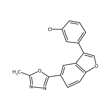 Cc1nnc(-c2ccc3occ(-c4cccc(Cl)c4)c3c2)o1